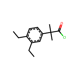 CCc1ccc(C(C)(C)C(=O)Cl)cc1CC